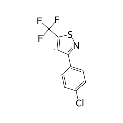 FC(F)(F)c1[c]c(-c2ccc(Cl)cc2)ns1